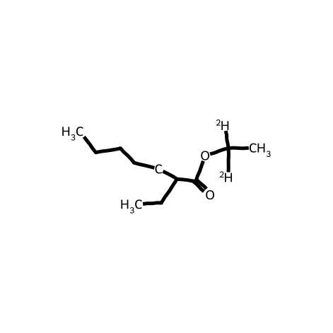 [2H]C([2H])(C)OC(=O)C(CC)CCCCC